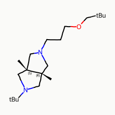 CC(C)(C)COCCCN1C[C@@]2(C)CN(C(C)(C)C)C[C@@]2(C)C1